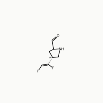 O=CC1C[C@@H](C(F)=CF)CN1